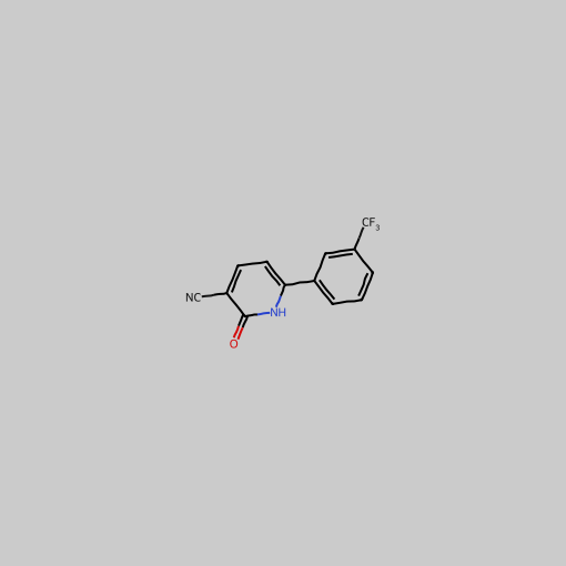 N#Cc1ccc(-c2cccc(C(F)(F)F)c2)[nH]c1=O